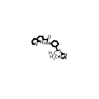 CC(Sc1nncn1C)c1cccc(NC(=O)c2ccc3cccnc3n2)c1